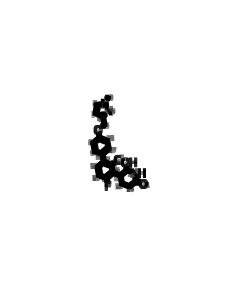 Cn1ccc(COc2ccc(-c3ccc(F)c(C4CCC(=O)NC4O)c3Cl)cc2)n1